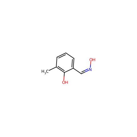 Cc1cccc(/C=N\O)c1O